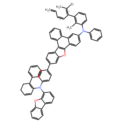 C=C/C=C\C(=C(/C)CC)c1cccc(N(c2ccccc2)c2ccc3c(c2)c2ccccc2c2c4ccc(-c5ccc(N(C6=C(c7ccccc7)CCC=C6)c6cccc7c6oc6ccccc67)cc5)cc4oc32)c1C